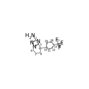 Nc1nc2n(n1)CCCC2c1ccc(C(F)(F)F)cc1